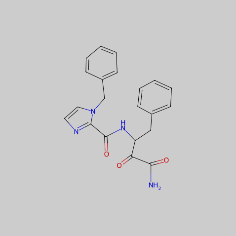 NC(=O)C(=O)C(Cc1ccccc1)NC(=O)c1nccn1Cc1ccccc1